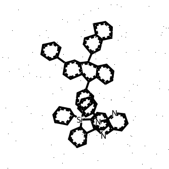 c1ccc(-c2ccc3c(-c4ccc([Si](c5ccccc5)(c5ccccc5)c5ccccc5-c5nc6cccnc6n5-c5ccccc5)cc4)c4ccccc4c(-c4ccc5ccccc5c4)c3c2)cc1